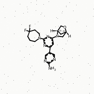 Nc1ncc(-c2cc(N3C[C@@H]4C[C@H]3CO4)nc(N3CCCC(F)(F)CC3)n2)cn1